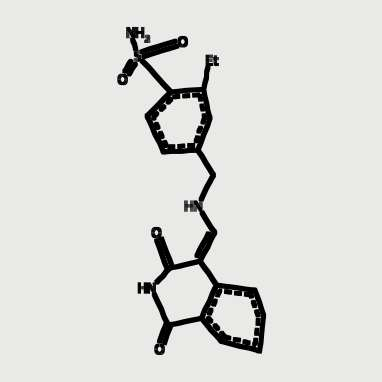 CCc1cc(CNC=C2C(=O)NC(=O)c3ccccc32)ccc1S(N)(=O)=O